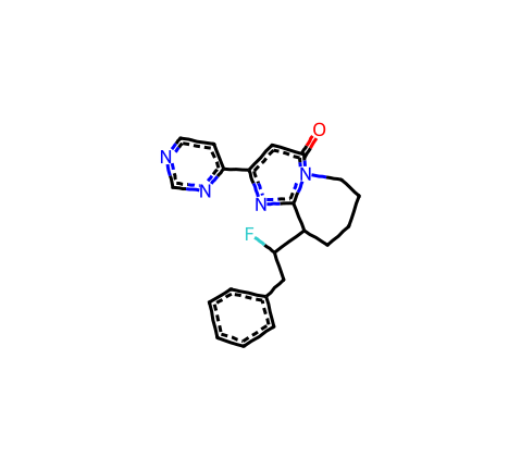 O=c1cc(-c2ccncn2)nc2n1CCCCC2C(F)Cc1ccccc1